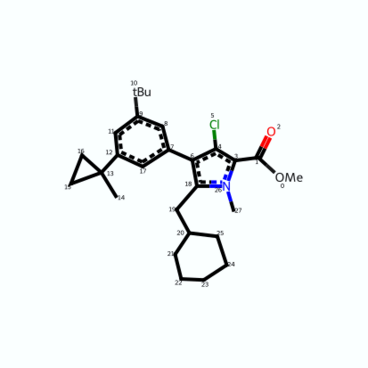 COC(=O)c1c(Cl)c(-c2cc(C(C)(C)C)cc(C3(C)CC3)c2)c(CC2CCCCC2)n1C